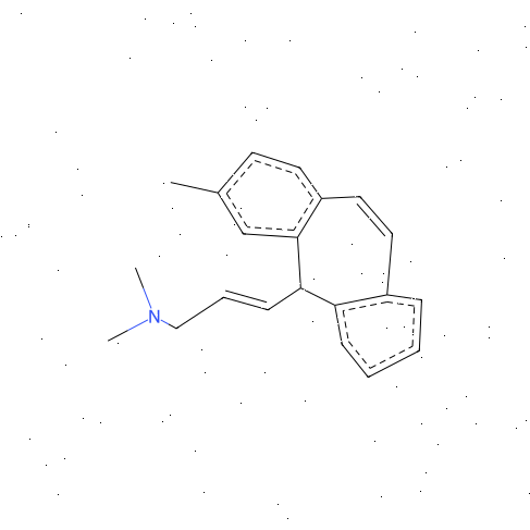 Cc1ccc2c(c1)C(C=CCN(C)C)c1ccccc1C=C2